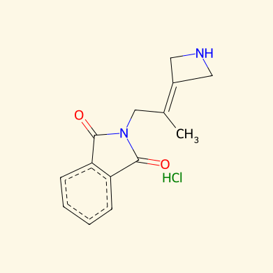 CC(CN1C(=O)c2ccccc2C1=O)=C1CNC1.Cl